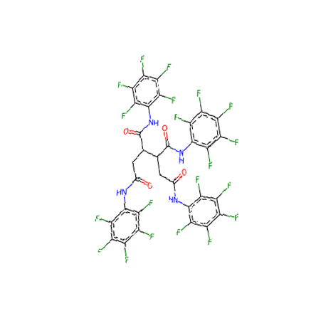 O=C(CC(C(=O)Nc1c(F)c(F)c(F)c(F)c1F)C(CC(=O)Nc1c(F)c(F)c(F)c(F)c1F)C(=O)Nc1c(F)c(F)c(F)c(F)c1F)Nc1c(F)c(F)c(F)c(F)c1F